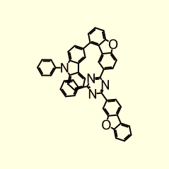 c1ccc(-c2nc(-c3ccc4c(c3)oc3ccccc34)nc(-c3ccc4oc5cccc(-c6ccc7c(c6)c6ccccc6n7-c6ccccc6)c5c4c3)n2)cc1